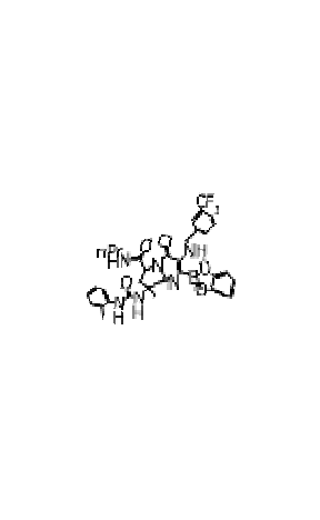 CCCNC(=O)C1CC(C)(NC(=O)Nc2ccccc2C)c2nc(B3Oc4ccccc4O3)c(NCc3cccc(C(F)(F)F)c3)c(=O)n21